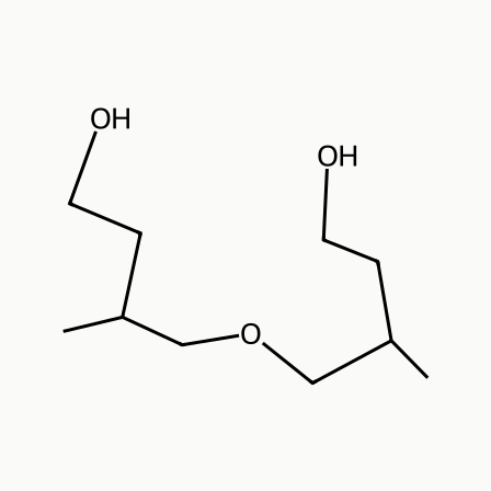 CC(CCO)COCC(C)CCO